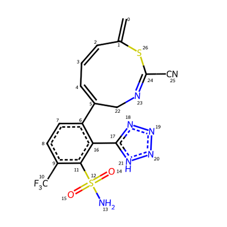 C=C1/C=C\C=C(\c2ccc(C(F)(F)F)c(S(N)(=O)=O)c2-c2nnn[nH]2)C/N=C(/C#N)S1